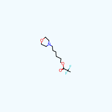 CC(F)(F)C(=O)OCCCCCCN1CCOCC1